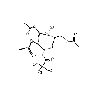 CC(=O)OCC1O[C@H](OC(=N)C(Cl)(Cl)Cl)C(OC(C)=O)C(OC(C)=O)[C@@H]1O